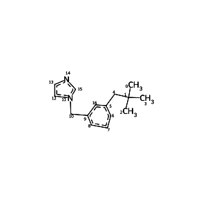 CC(C)(C)Cc1cccc(Cn2ccnc2)c1